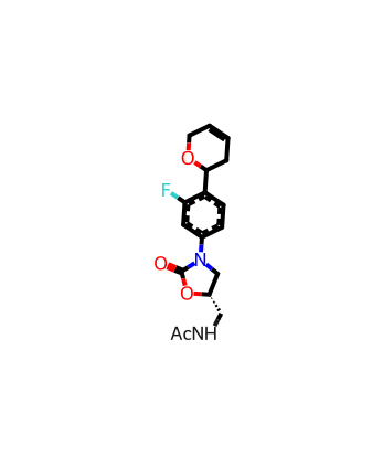 CC(=O)NC[C@H]1CN(c2ccc(C3CC=CCO3)c(F)c2)C(=O)O1